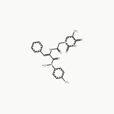 Cc1ccc(N(C)C(=O)C(=Cc2ccccc2)NC(=O)Cn2cc(C)c(=O)[nH]c2=O)cc1